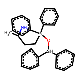 CC(N)CC[Si](O[SiH](c1ccccc1)c1ccccc1)(c1ccccc1)c1ccccc1